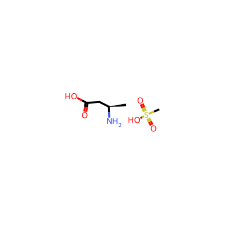 CS(=O)(=O)O.C[C@@H](N)CC(=O)O